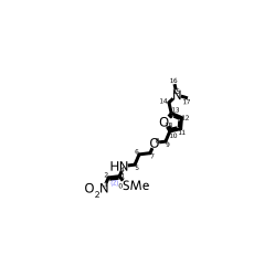 CS/C(=C\[N+](=O)[O-])NCCCOCc1ccc(CN(C)C)o1